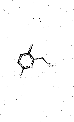 CCOC(=O)Cn1nc(Cl)ccc1=O